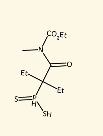 CCOC(=O)N(C)C(=O)C(CC)(CC)[PH](=S)S